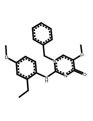 CCc1cc(OC)ccc1Nc1nc(=O)c(OC)cn1Cc1ccccc1